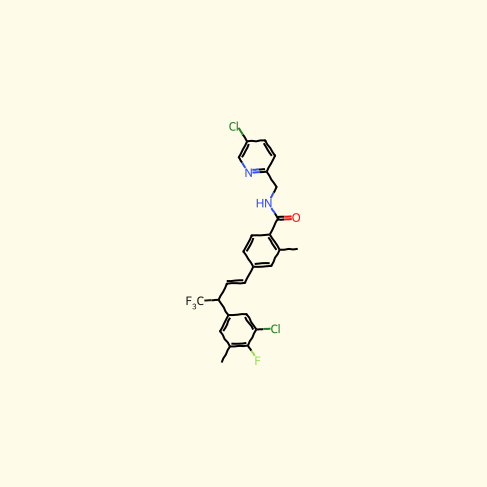 Cc1cc(/C=C/C(c2cc(C)c(F)c(Cl)c2)C(F)(F)F)ccc1C(=O)NCc1ccc(Cl)cn1